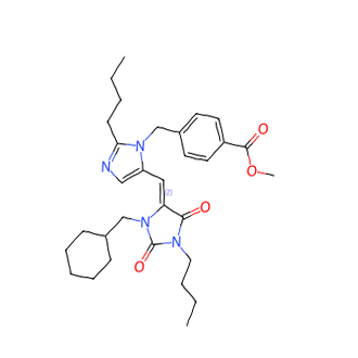 CCCCc1ncc(/C=C2/C(=O)N(CCCC)C(=O)N2CC2CCCCC2)n1Cc1ccc(C(=O)OC)cc1